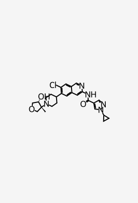 C[C@@]1(N2CCC(c3cc4cc(NC(=O)c5cnn(C6CC6)c5)ncc4cc3Cl)CC2)COC[C@@H]1O